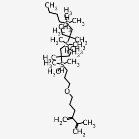 C=C(C)C(=C)CCCOCCC[SH](C)(C)(C)C(C)(CC)C[SH](C)(C)(C)C(C)(CC)C[SH](C)(C)(C)CCCC